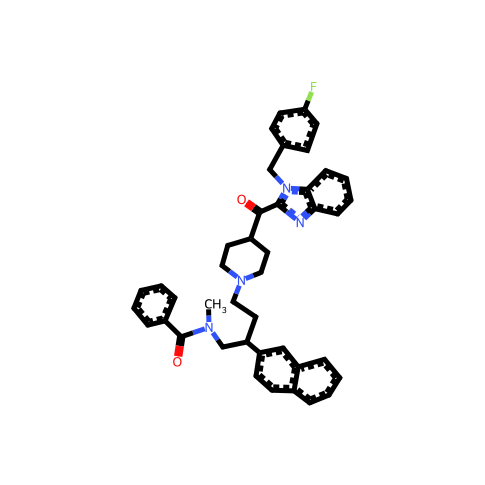 CN(CC(CCN1CCC(C(=O)c2nc3ccccc3n2Cc2ccc(F)cc2)CC1)c1ccc2ccccc2c1)C(=O)c1ccccc1